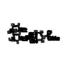 CCN1C=CN(C)C1.CCN1C=CN(C)C1.COC(=O)c1ccc(P(=O)(O)O)cc1